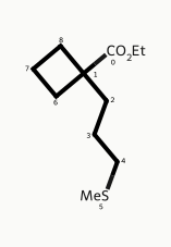 CCOC(=O)C1(CCCSC)CCC1